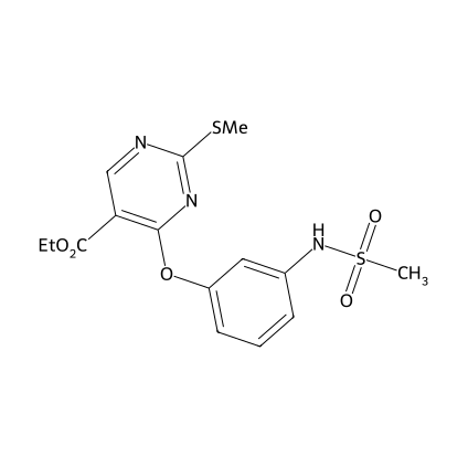 CCOC(=O)c1cnc(SC)nc1Oc1cccc(NS(C)(=O)=O)c1